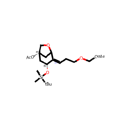 COCOCC/C=C1\C2C[C@](OC(C)=O)(CO2)C[C@H]1O[Si](C)(C)C(C)(C)C